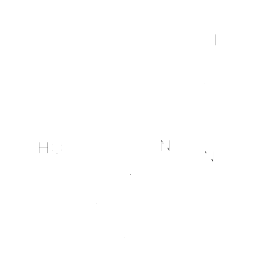 OCC1(n2cc(I)cn2)CCC1